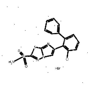 Br.NS(=O)(=O)c1nn2cc(-c3c(Cl)cccc3-c3ccccc3)nc2s1